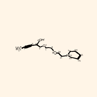 CC#CC(O)COCCOCCN1CCCCC1